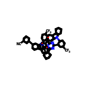 N#Cc1cccc(-c2ccc3c4ccccc4n(-c4ccc(C(F)(F)F)cc4-c4nc(-c5ccccc5)nc(-c5cc(C(F)(F)F)ccc5-n5c6ccccc6c6ccc(-c7cccc(C#N)c7)cc65)n4)c3c2)c1